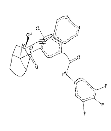 O=C(Nc1cc(F)c(F)c(F)c1)c1ccc(Cl)c(S(=O)(=O)[C@H]2C3CCC2C[C@](O)(C#Cc2ccncc2)C3)c1